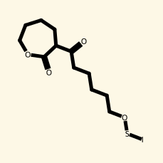 O=C(CCCCCOSI)C1CCCCOC1=O